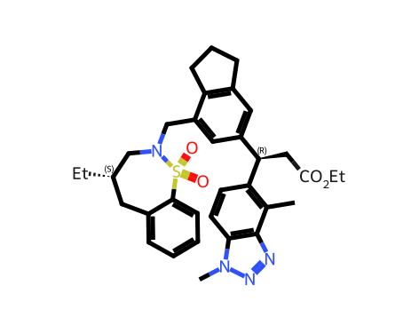 CCOC(=O)C[C@H](c1cc2c(c(CN3C[C@@H](CC)Cc4ccccc4S3(=O)=O)c1)CCC2)c1ccc2c(nnn2C)c1C